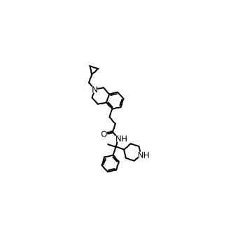 CC(NC(=O)CCc1cccc2c1CCN(CC1CC1)C2)(c1ccccc1)C1CCNCC1